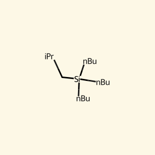 CCCC[Si](CCCC)(CCCC)CC(C)C